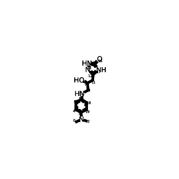 CN(C)c1ccc(NCC(O)Cc2n[nH]c(=O)[nH]2)cc1